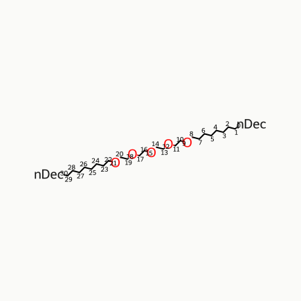 CCCCCCCCCCCCCCCCCCOCCOCCOCCOCCOCCCCCCCCCCCCCCCCCC